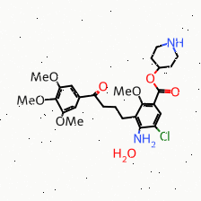 COc1cc(C(=O)CCCc2c(N)c(Cl)cc(C(=O)OC3CCNCC3)c2OC)cc(OC)c1OC.O